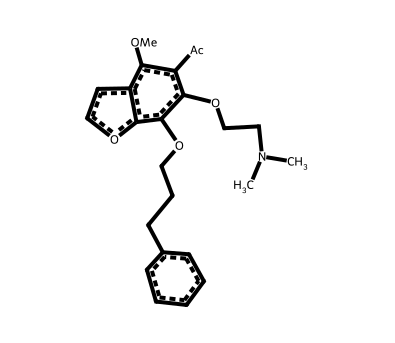 COc1c(C(C)=O)c(OCCN(C)C)c(OCCCc2ccccc2)c2occc12